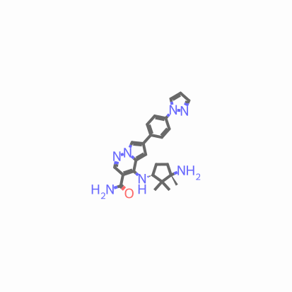 CC1(C)[C@H](Nc2c(C(N)=O)cnn3cc(-c4ccc(-n5cccn5)cc4)cc23)CC[C@]1(C)N